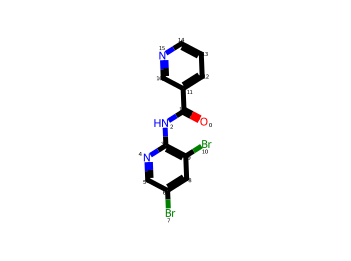 O=C(Nc1ncc(Br)cc1Br)c1cccnc1